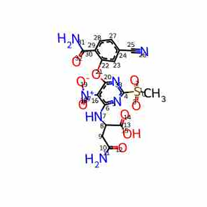 CS(=O)(=O)c1nc(NC(CC(N)=O)C(=O)O)c([N+](=O)[O-])c(Oc2cc(C#N)ccc2C(N)=O)n1